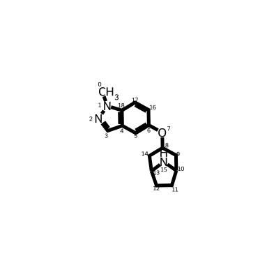 Cn1ncc2cc(OC3CC4CCC(C3)N4)ccc21